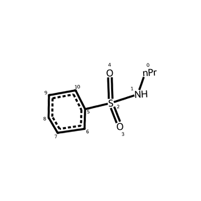 [CH2]CCNS(=O)(=O)c1ccccc1